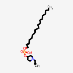 C#CCN1CCC(OP(=O)(O)OCCCCCCCCCCCCCCCCCC)CC1